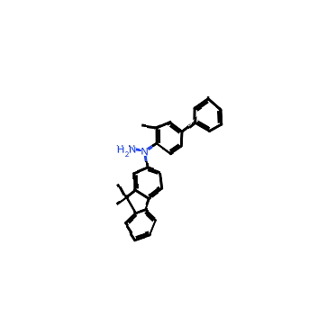 Cc1cc(-c2ccccc2)ccc1N(N)c1ccc2c(c1)C(C)(C)c1ccccc1-2